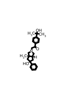 CC(C)(O)c1ccc(C(=O)CN2C[C@@H]3C[C@@](O)(c4ccccc4)C[C@]3(C)C2)cc1